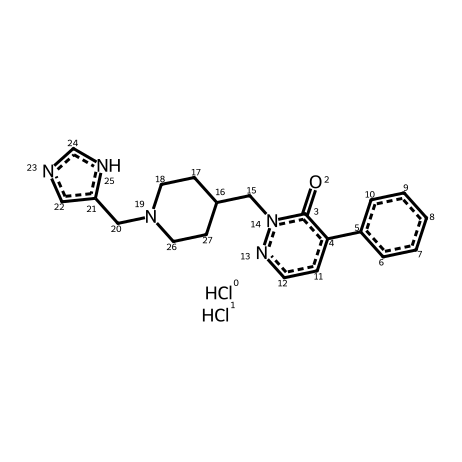 Cl.Cl.O=c1c(-c2ccccc2)ccnn1CC1CCN(Cc2cnc[nH]2)CC1